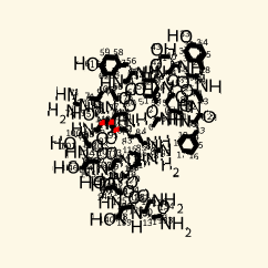 CC(=O)N[C@@H](CC(N)=O)C(=O)N[C@@H](Cc1ccccc1)C(=O)NCC(=O)N[C@@H](Cc1ccc(O)cc1)C(=O)N[C@@H](CC(=O)O)C(=O)N[C@@H](CC(C)C)C(=O)N[C@@H](Cc1ccc(O)cc1)C(=O)N[C@@H](CCCNC(=N)N)C(=O)N[C@H](C(=O)N[C@@H](CCCNC(=N)N)C(=O)N[C@@H](CO)C(=O)N[C@@H](CO)C(=O)N[C@H](C(=O)N[C@@H](CO)C(=O)N1CCC[C@H]1C(=O)N[C@H](C(=O)N[C@H](C(=O)N[C@@H](CC(N)=O)C(N)=O)[C@@H](C)O)[C@@H](C)O)[C@@H](C)O)C(C)C